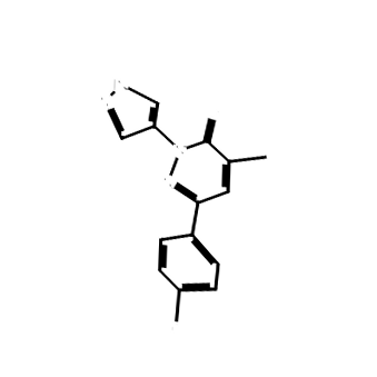 Cc1cc(-c2ccc(Cl)cc2)nn(-c2cn[nH]c2)c1=O